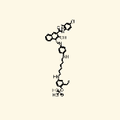 Cc1cc(Cl)ccc1NC(=O)c1cc2ccccc2c(/N=N/c2ccc(NCCCCCCNc3ccc(OP(=O)(O)O)c(CF)c3)cc2)c1O